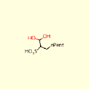 CCCCCCC(C(O)O)S(=O)(=O)O